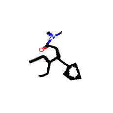 CCC(CC)C(CC(=O)N(C)C)c1ccccc1